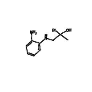 CCC(C)(O)CNc1ccccc1N